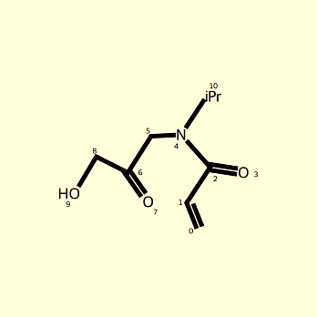 C=CC(=O)N(CC(=O)CO)C(C)C